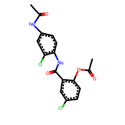 CC(=O)Nc1ccc(NC(=O)c2cc(Cl)ccc2OC(C)=O)c(Cl)c1